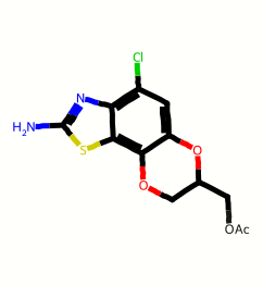 CC(=O)OCC1COc2c(cc(Cl)c3nc(N)sc23)O1